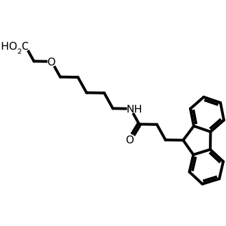 O=C(O)COCCCCCNC(=O)CCC1c2ccccc2-c2ccccc21